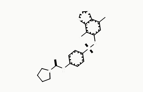 Cc1cc(NS(=O)(=O)c2ccc(NC(=O)N3CCCC3)cc2)c(Br)c2nsnc12